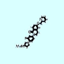 CN[C@@H]1CCN(c2ccc(N3CCc4cc(OCc5ccccn5)ccc4C3=O)cc2F)C1